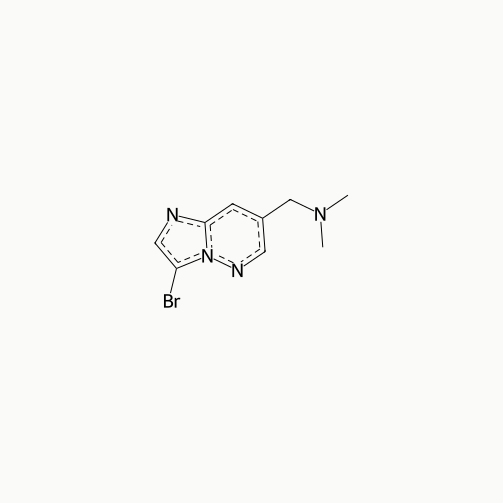 CN(C)Cc1cnn2c(Br)cnc2c1